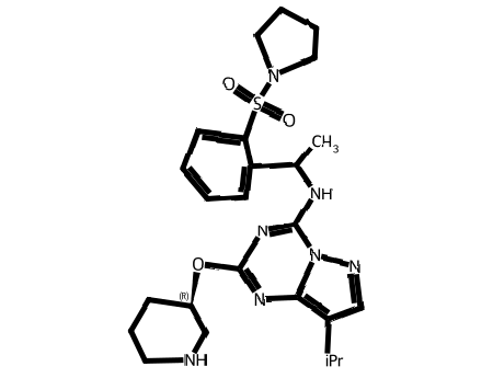 CC(C)c1cnn2c(NC(C)c3ccccc3S(=O)(=O)N3CCCC3)nc(O[C@@H]3CCCNC3)nc12